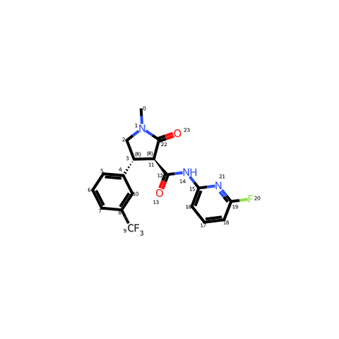 CN1C[C@@H](c2cccc(C(F)(F)F)c2)[C@H](C(=O)Nc2cccc(F)n2)C1=O